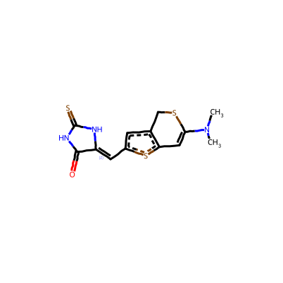 CN(C)C1=Cc2sc(/C=C3\NC(=S)NC3=O)cc2CS1